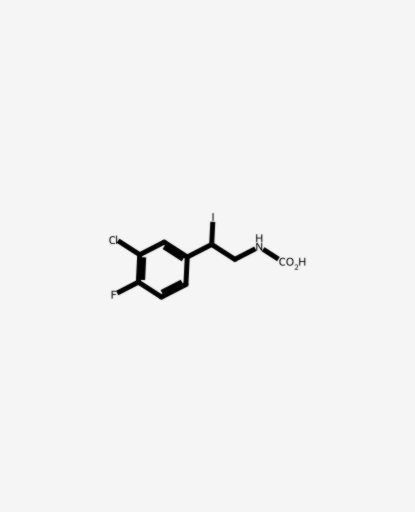 O=C(O)NCC(I)c1ccc(F)c(Cl)c1